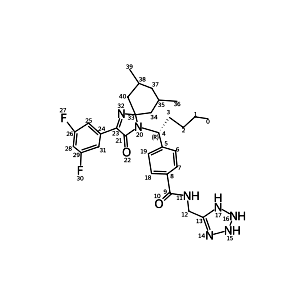 CCCC[C@H](c1ccc(C(=O)NCC2=NNNN2)cc1)N1C(=O)C(c2cc(F)cc(F)c2)=NC12CC(C)CC(C)C2